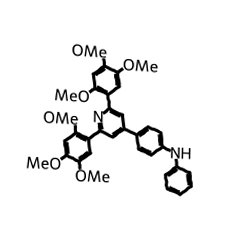 COc1cc(OC)c(-c2cc(-c3ccc(Nc4ccccc4)cc3)cc(-c3cc(OC)c(OC)cc3OC)n2)cc1OC